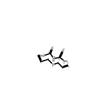 C=CCOCC=C.COC(=O)NC(N)=O